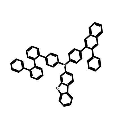 c1ccc(-c2cc3ccccc3cc2-c2ccc(N(c3ccc(-c4ccccc4-c4ccccc4-c4ccccc4)cc3)c3ccc4c(c3)oc3ccccc34)cc2)cc1